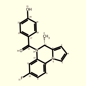 C[C@@H]1c2cccn2-c2ccc(F)cc2N1C(=O)c1ccc(O)cc1